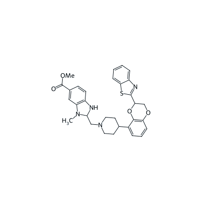 COC(=O)c1ccc2c(c1)N(C)C(CN1CCC(c3cccc4c3OC(c3nc5ccccc5s3)CO4)CC1)N2